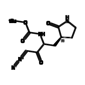 CC(C)(C)OC(=O)NC(C[C@@H]1CCNC1=O)C(=O)C=[N+]=[N-]